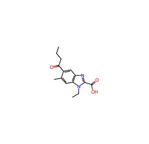 CCCC(=O)c1cc2nc(C(=O)O)n(CC)c2cc1C